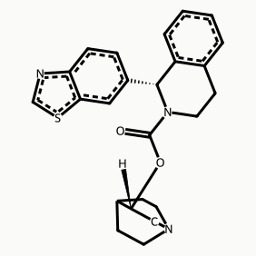 O=C(O[C@@H]1CN2CCC1CC2)N1CCc2ccccc2[C@H]1c1ccc2ncsc2c1